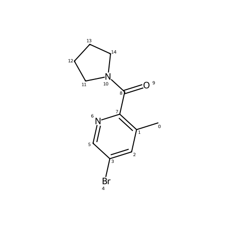 Cc1cc(Br)cnc1C(=O)N1CCCC1